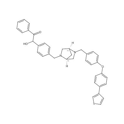 O=C(c1ccccc1)C(O)c1ccc(CN2C[C@@H]3C[C@H]2CN3Cc2ccc(Oc3ccc(-c4ccsc4)cc3)cc2)cc1